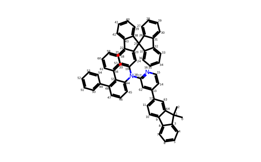 CC1(C)c2ccccc2-c2ccc(-c3ccnc(N(c4ccc5c(c4)C4(c6ccccc6-c6ccccc64)c4ccccc4-5)c4cccc(-c5ccccc5)c4-c4ccccc4)c3)cc21